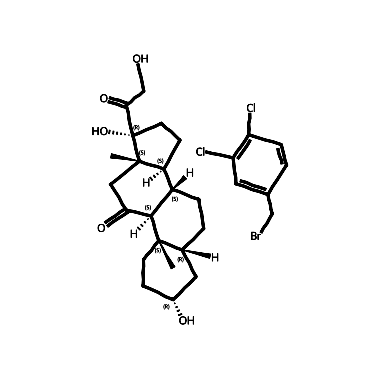 C[C@]12CC[C@@H](O)C[C@H]1CC[C@@H]1[C@@H]2C(=O)C[C@@]2(C)[C@H]1CC[C@]2(O)C(=O)CO.Clc1ccc(CBr)cc1Cl